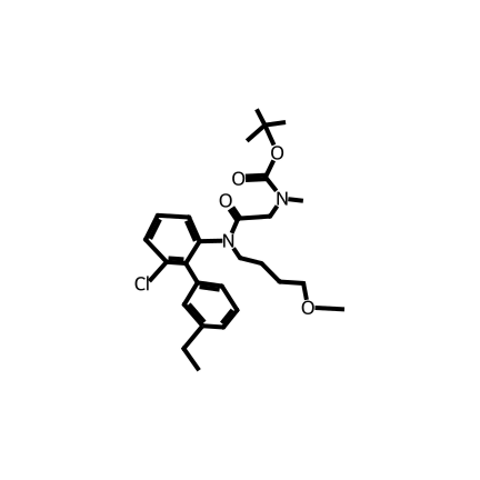 CCc1cccc(-c2c(Cl)cccc2N(CCCCOC)C(=O)CN(C)C(=O)OC(C)(C)C)c1